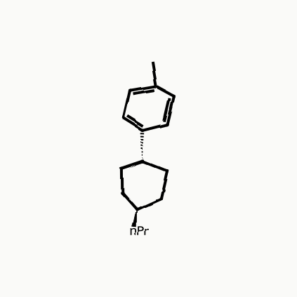 CCC[C@H]1CC[C@H](c2ccc(C)cc2)CC1